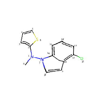 CN(c1cccs1)n1ccc2c(Cl)cccc21